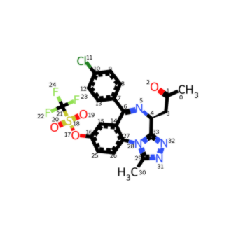 CC(=O)C[C@@H]1N=C(c2ccc(Cl)cc2)c2cc(OS(=O)(=O)C(F)(F)F)ccc2-n2c(C)nnc21